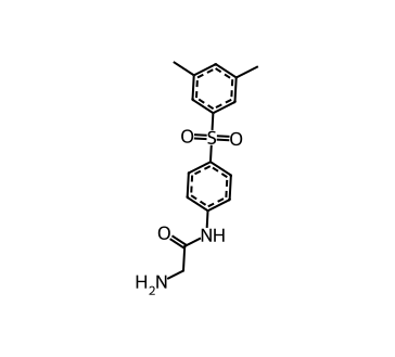 Cc1cc(C)cc(S(=O)(=O)c2ccc(NC(=O)CN)cc2)c1